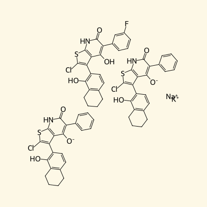 O=c1[nH]c2sc(Cl)c(-c3ccc4c(c3O)CCCC4)c2c(O)c1-c1cccc(F)c1.O=c1[nH]c2sc(Cl)c(-c3ccc4c(c3O)CCCC4)c2c([O-])c1-c1ccccc1.O=c1[nH]c2sc(Cl)c(-c3ccc4c(c3O)CCCC4)c2c([O-])c1-c1ccccc1.[K+].[Na+]